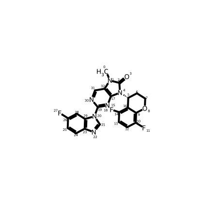 Cn1c(=O)n([C@@H]2CCOc3c(F)ccc(F)c32)c2nc(-n3cnc4ccc(F)cc43)ncc21